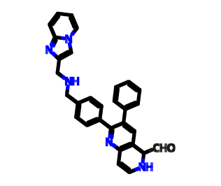 O=CC1NC=Cc2nc(-c3ccc(CNCc4cn5ccccc5n4)cc3)c(-c3ccccc3)cc21